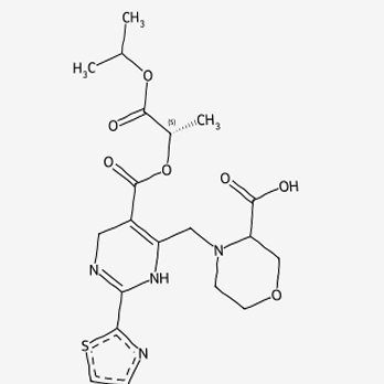 CC(C)OC(=O)[C@H](C)OC(=O)C1=C(CN2CCOCC2C(=O)O)NC(c2nccs2)=NC1